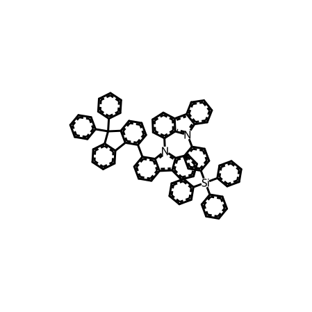 c1ccc(C2(c3ccccc3)c3ccccc3-c3c(-c4cccc5c6ccccc6n(-c6cccc7c8ccccc8n(-c8ccc([Si](c9ccccc9)(c9ccccc9)c9ccccc9)cc8)c67)c45)cccc32)cc1